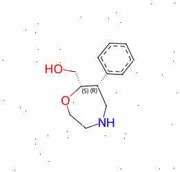 OC[C@H]1OCCNC[C@H]1c1ccccc1